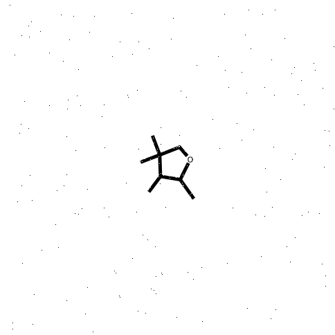 CC1OCC(C)(C)C1C